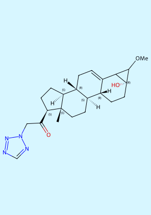 COC1C2C3=CC[C@@H]4[C@H](CC[C@]5(C)[C@@H](C(=O)Cn6ncnn6)CC[C@@H]45)[C@H]3CC[C@]12O